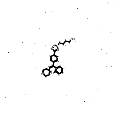 NCCCCn1nnc(-c2ccc(C3=CC4(CCNCC4)Oc4ccccc43)cc2)n1